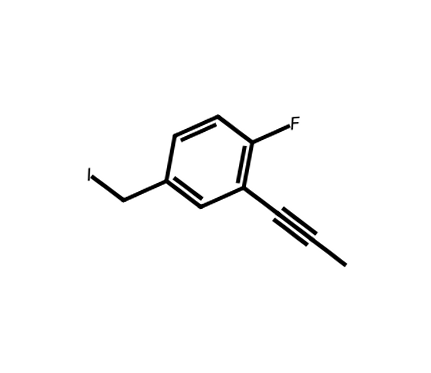 CC#Cc1cc(CI)ccc1F